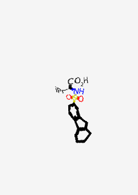 CC(C)[C@@H](NS(=O)(=O)c1ccc2c(c1)CC1=C2CCCC1)C(=O)O